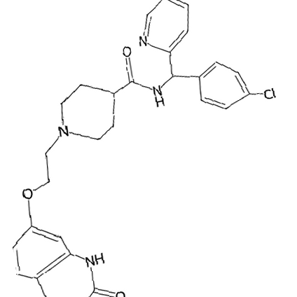 O=C1CCc2ccc(OCCN3CCC(C(=O)NC(c4ccc(Cl)cc4)c4ccccn4)CC3)cc2N1